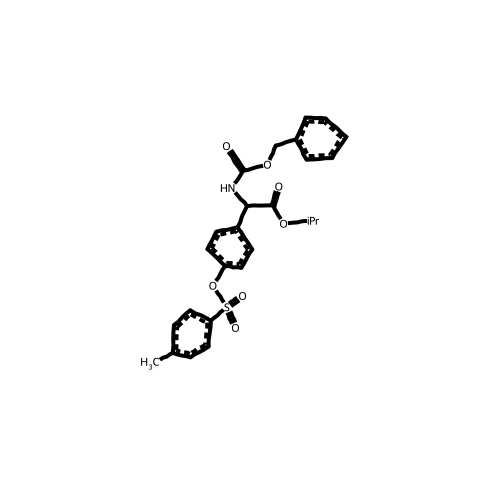 Cc1ccc(S(=O)(=O)Oc2ccc(C(NC(=O)OCc3ccccc3)C(=O)OC(C)C)cc2)cc1